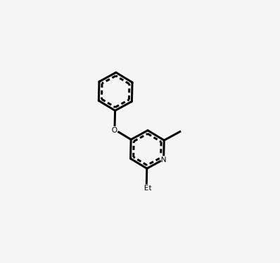 CCc1cc(Oc2ccccc2)cc(C)n1